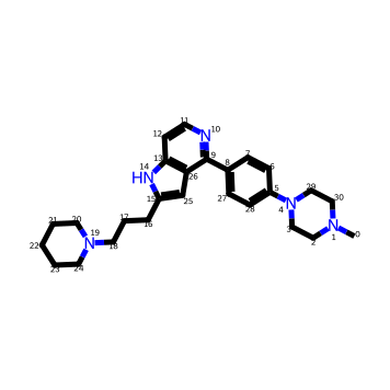 CN1CCN(c2ccc(-c3nccc4[nH]c(CCCN5CCCCC5)cc34)cc2)CC1